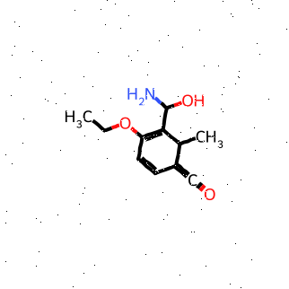 CCOC1=C(C(N)O)C(C)C(=C=O)C=C1